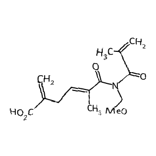 C=C(C)C(=O)N(COC)C(=O)C(C)=CCC(=C)C(=O)O